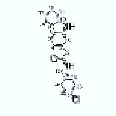 O=C(Cc1ccc2c(c1)[nH]c1ccccc12)NCc1ccc(Cl)cc1